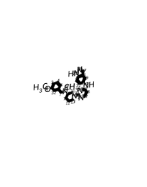 COc1cccc(CN(C)C2CCCN(c3nccc(Nc4ccc5[nH]ncc5c4)n3)C2)c1